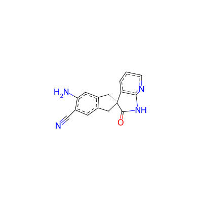 N#Cc1cc2c(cc1N)C[C@@]1(C2)C(=O)Nc2ncccc21